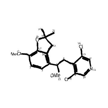 COc1ccc(C(Cc2c(Cl)cncc2Cl)OC)c2c1OC(C)(C)C2